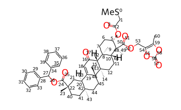 CSCC(=O)O[C@H]1CC[C@@]2(C)[C@@H](CC[C@]3(C)[C@@H]2C(=O)C=C2[C@@H]4C[C@@](C)(C(=O)OC(c5ccccc5)c5ccccc5)CC[C@]4(C)CC[C@]23C)[C@]1(C)C(=O)OCc1oc(=O)oc1C